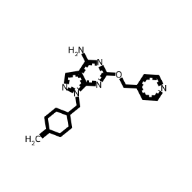 C=C1CCC(Cn2ncc3c(N)nc(OCc4ccncc4)nc32)CC1